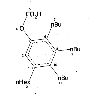 CCCCCCc1cc(OC(=O)O)c(CCCC)c(CCCC)c1CCCC